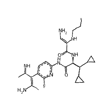 CCCN/C(=C\N)C(=O)N[C@H](C(=O)Nc1ccc(/C(C(C)=N)=C(\C)N)c(F)n1)C(C1CC1)C1CC1